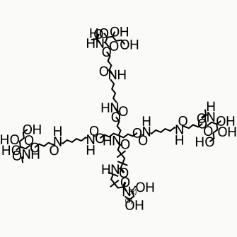 CC(=O)NC1C(OCCCC(=O)NCCCCCCNC(=O)OCCCC(CCCOC(=O)NCCCCCCNC(=O)CCCOC2OC(CO)C(O)C(O)C2NC(C)=O)(CCCOC(=O)NCCCCCCNC(=O)CCCOC2OC(CO)C(O)C(O)C2NC(C)=O)NC(=O)CC(C)(C)CC(C)(C)C(=O)NC(C)(C)CC(C)(C)CC(=O)N2C[C@@H](O)C[C@@H]2CO)OC(CO)C(O)C1O